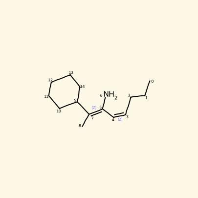 CCC/C=C\C(N)=C(/C)C1CCCCC1